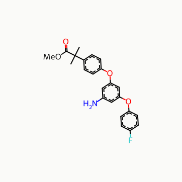 COC(=O)C(C)(C)c1ccc(Oc2cc(N)cc(Oc3ccc(F)cc3)c2)cc1